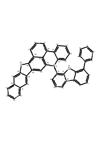 c1ccc(-c2cccc3c2oc2c(N4c5ccccc5-c5cccc6c5c4cc4c5cc7ccccc7cc5oc64)cccc23)cc1